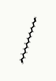 [CH]=CCCCCCCCCCCCCCCC=C